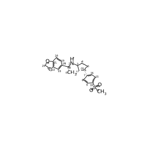 C[C@@H](NC1CC[C@H](c2ccc(S(C)(=O)=O)cc2)C1)c1ccc2c(c1)OCO2